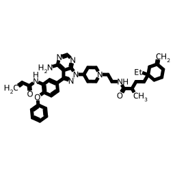 C=CC(=O)Nc1cc(-c2nn(C3CCN(CCNC(=O)C(C)CCC4(CC)CCCC(=C)C4)CC3)c3ncnc(N)c23)ccc1Oc1ccccc1